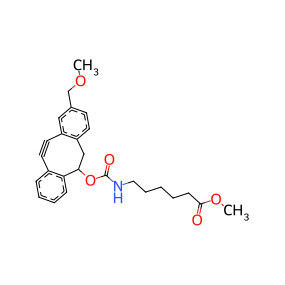 COCc1ccc2c(c1)C#Cc1ccccc1C(OC(=O)NCCCCCC(=O)OC)C2